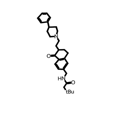 CC(C)(C)CC(=O)NCc1ccc2c(c1)CCC(CCN1CCC(c3ccccc3)CC1)C2=O